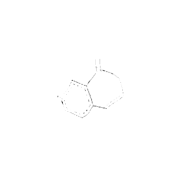 [CH]1C=Cc2ccncc2N1